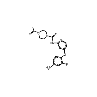 CC(=O)N1CCN(C(=O)Nc2cc(Oc3ccc(N)cc3F)ccn2)CC1